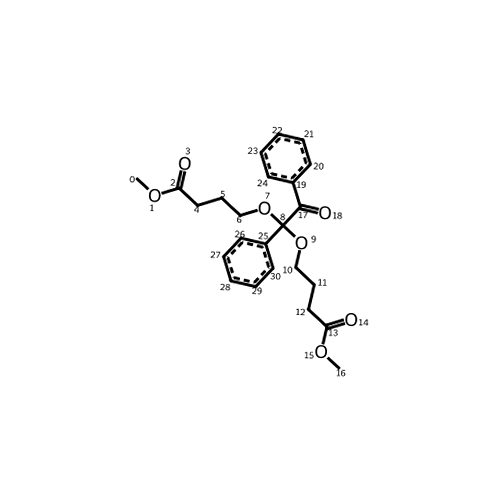 COC(=O)CCCOC(OCCCC(=O)OC)(C(=O)c1ccccc1)c1ccccc1